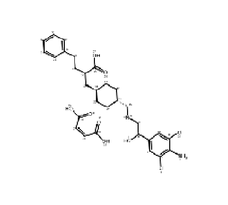 Nc1c(Cl)cc(C(O)CNC[C@H]2CC[C@H](CC(CCc3ccccc3)C(=O)O)CC2)cc1Cl.O=C(O)/C=C\C(=O)O